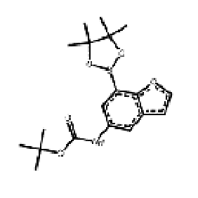 CC(C)(C)OC(=O)Nc1cc(B2OC(C)(C)C(C)(C)O2)c2occc2c1